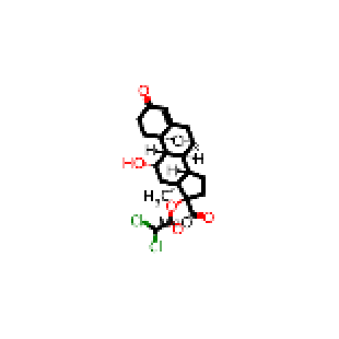 COC(=O)[C@@]1(OC(=O)C(Cl)Cl)CC[C@H]2[C@@H]3CCC4=CC(=O)CC[C@]4(C)[C@H]3[C@@H](O)C[C@@]21C